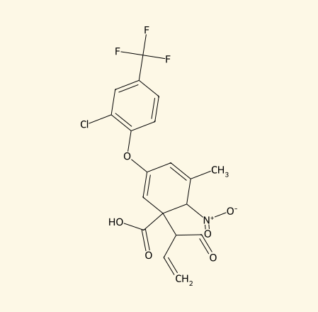 C=CC(C=O)C1(C(=O)O)C=C(Oc2ccc(C(F)(F)F)cc2Cl)C=C(C)C1[N+](=O)[O-]